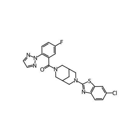 O=C(c1cc(F)ccc1-n1nccn1)N1CC2CC(C1)CN(c1nc3ccc(Cl)cc3s1)C2